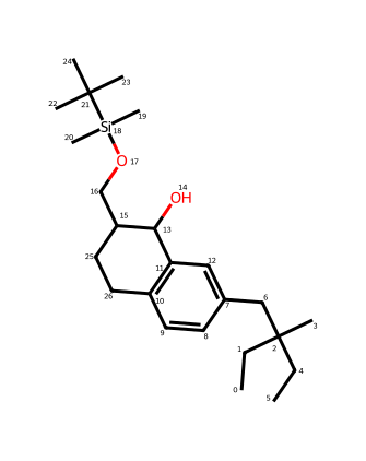 CCC(C)(CC)Cc1ccc2c(c1)C(O)C(CO[Si](C)(C)C(C)(C)C)CC2